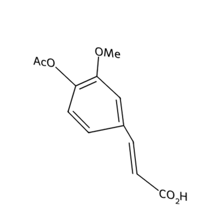 COc1cc(/C=C/C(=O)O)ccc1OC(C)=O